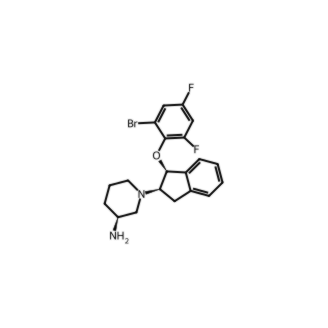 N[C@H]1CCCN([C@@H]2Cc3ccccc3[C@@H]2Oc2c(F)cc(F)cc2Br)C1